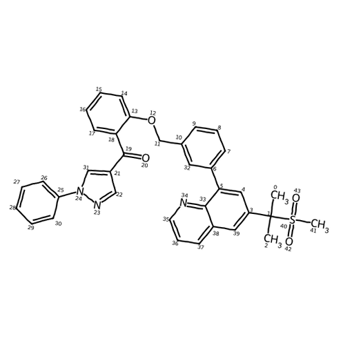 CC(C)(c1cc(-c2cccc(COc3ccccc3C(=O)c3cnn(-c4ccccc4)c3)c2)c2ncccc2c1)S(C)(=O)=O